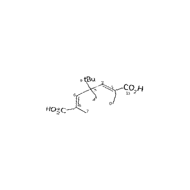 CC(=CC(C)(C=C(C)C(=O)O)C(C)(C)C)C(=O)O